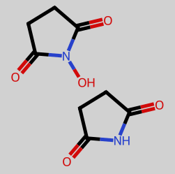 O=C1CCC(=O)N1.O=C1CCC(=O)N1O